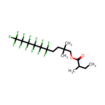 CCC(C)C(=O)OCC(C)(C)CCC(F)(F)C(F)(F)C(F)(F)C(F)(F)C(F)(F)C(F)(F)F